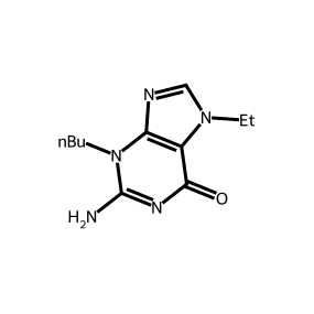 CCCCn1c(N)nc(=O)c2c1ncn2CC